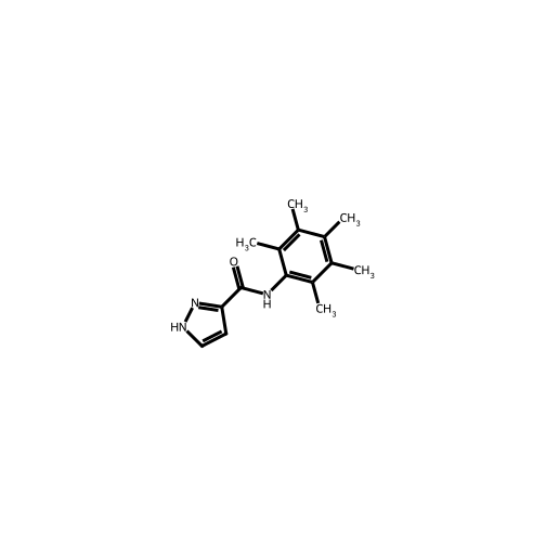 Cc1c(C)c(C)c(NC(=O)c2cc[nH]n2)c(C)c1C